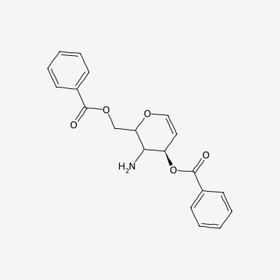 NC1C(COC(=O)c2ccccc2)OC=C[C@H]1OC(=O)c1ccccc1